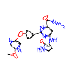 COc1cnc(Oc2ccc(-c3nc(N[C@H]4CCNC4=O)cc(C(N)=O)n3)cc2)cn1